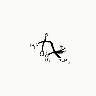 CCC(C)(C)[CH]C(C)(C)CC